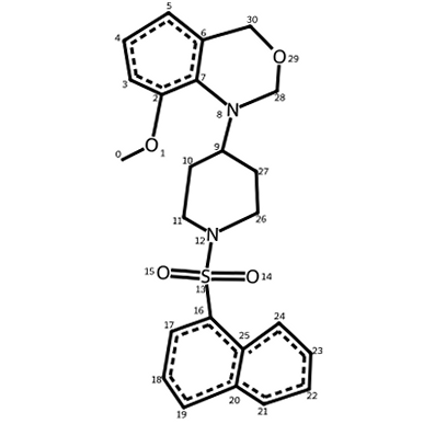 COc1cccc2c1N(C1CCN(S(=O)(=O)c3cccc4ccccc34)CC1)COC2